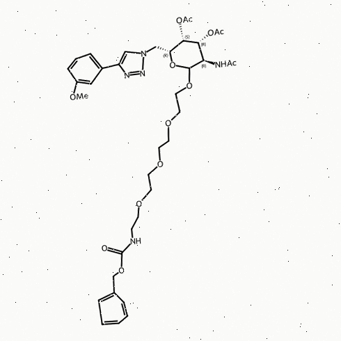 COc1cccc(-c2cn(C[C@H]3OC(OCCOCCOCCOCCNC(=O)OCc4ccccc4)[C@H](NC(C)=O)[C@@H](OC(C)=O)[C@H]3OC(C)=O)nn2)c1